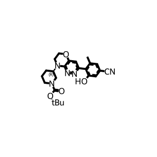 Cc1cc(C#N)cc(O)c1-c1cc2c(nn1)N([C@@H]1CCCN(C(=O)OC(C)(C)C)C1)CCO2